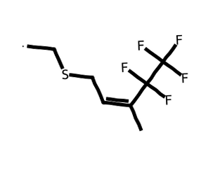 [CH2]CSCC=C(C)C(F)(F)C(F)(F)F